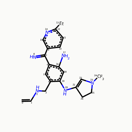 C=CNCc1cc(C(=N)c2ccc(CC)nc2)c(N)cc1NC1=CN(C(F)(F)F)CC1